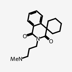 CNCCCN1C(=O)c2ccccc2C2(CCCCC2)C1=O